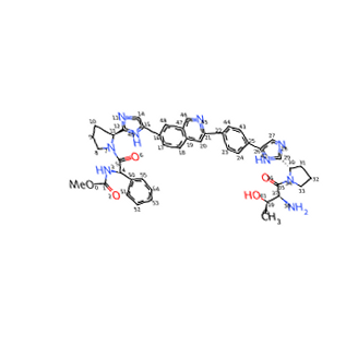 COC(=O)N[C@@H](C(=O)N1CCC[C@H]1c1ncc(-c2ccc3cc(-c4ccc(-c5cnc([C@@H]6CCCN6C(=O)[C@@H](N)[C@@H](C)O)[nH]5)cc4)ncc3c2)[nH]1)c1ccccc1